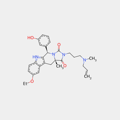 C=CCN(C)CCCN1C(=O)N2[C@H](c3cccc(O)c3)c3[nH]c4ccc(OCC)cc4c3C[C@@]2(C)C1=O